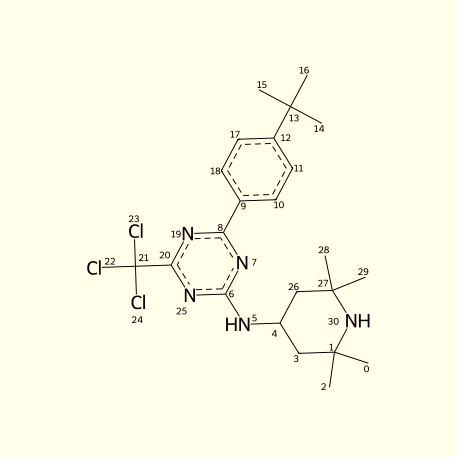 CC1(C)CC(Nc2nc(-c3ccc(C(C)(C)C)cc3)nc(C(Cl)(Cl)Cl)n2)CC(C)(C)N1